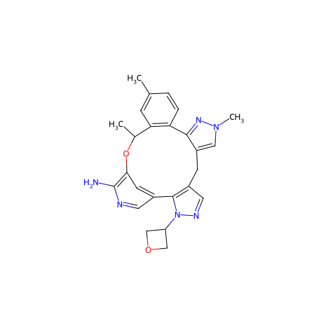 Cc1ccc2c(c1)C(C)Oc1cc(cnc1N)-c1c(cnn1C1COC1)Cc1cn(C)nc1-2